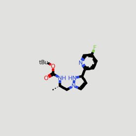 C[C@@H](CN1C=CC(c2ccc(F)cn2)N1)NC(=O)OC(C)(C)C